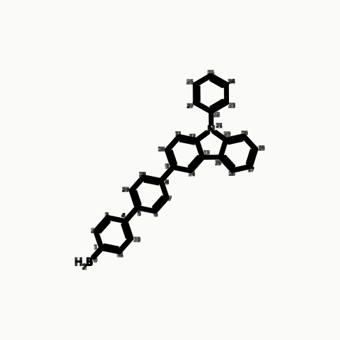 Bc1ccc(-c2ccc(-c3ccc4c(c3)c3ccccc3n4-c3ccccc3)cc2)cc1